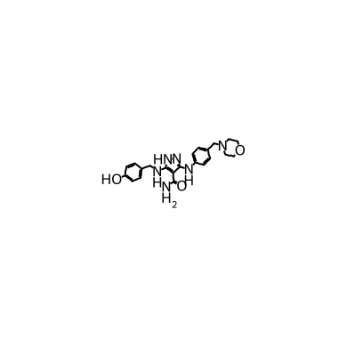 NC(=O)c1c(Nc2ccc(CN3CCOCC3)cc2)n[nH]c1NCc1ccc(O)cc1